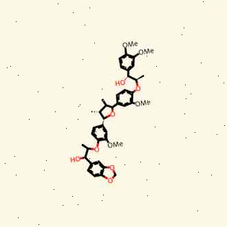 COc1ccc([C@@H](O)[C@@H](C)Oc2ccc(C3O[C@H](c4ccc(OC(C)C(O)c5ccc6c(c5)OCO6)c(OC)c4)[C@H](C)C3C)cc2OC)cc1OC